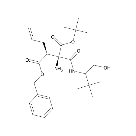 C=CC[C@H](C(=O)OCc1ccccc1)[C@@](N)(C(=O)NC(CO)C(C)(C)C)C(=O)OC(C)(C)C